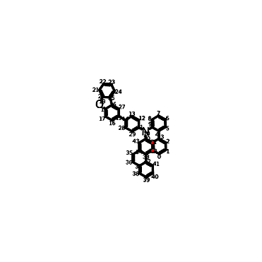 c1ccc(-c2ccccc2N(c2ccc(-c3ccc4oc5ccccc5c4c3)cc2)c2ccc3c(ccc4ccccc43)c2)cc1